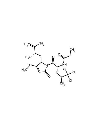 C=C(N)[C@@H](C)C[C@H]1C(OC)=CC(=O)N1C(=O)[C@@H](C[C@H](C)C(Cl)(Cl)Cl)NC(=O)CC